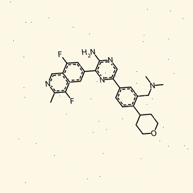 Cc1ncc2c(F)cc(-c3nc(-c4ccc(C5CCOCC5)c(CN(C)C)c4)cnc3N)cc2c1F